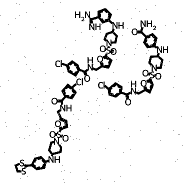 N=C(N)c1cccc(NC2CCN(S(=O)(=O)c3ccc(CNC(=O)c4ccc(Cl)cc4)o3)CC2)c1.NC(=O)c1ccc(NC2CCN(S(=O)(=O)c3ccc(CNC(=O)c4ccc(Cl)cc4)o3)CC2)cc1.O=C(NCc1ccc(S(=O)(=O)N2CCC(Nc3ccc(C4SCCS4)cc3)CC2)o1)c1ccc(Cl)cc1